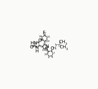 CC(C)CCOc1ccccc1-n1cc(C2NC(=O)NC2=O)c(-c2ccc(F)cc2)n1